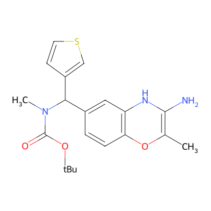 CC1=C(N)Nc2cc(C(c3ccsc3)N(C)C(=O)OC(C)(C)C)ccc2O1